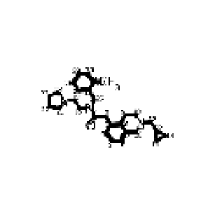 O=C(Cc1cccc2c1CCN(CC1CC1)C2)N(CCN1CCCC1)Cc1ccccc1C(F)(F)F